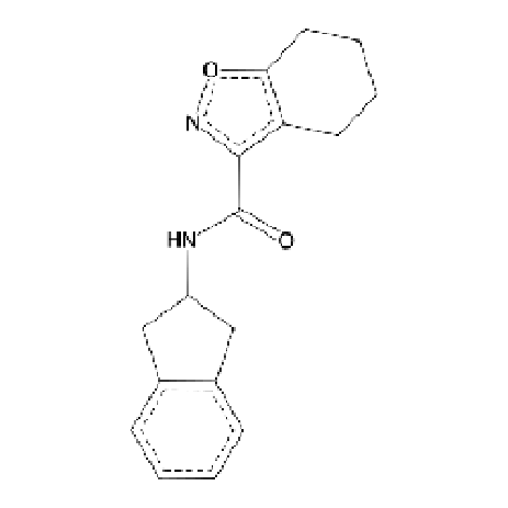 O=C(NC1Cc2ccccc2C1)c1noc2c1CCCC2